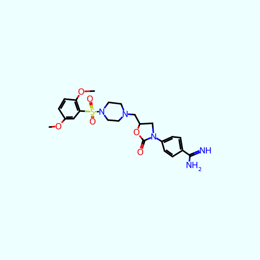 COc1ccc(OC)c(S(=O)(=O)N2CCN(CC3CN(c4ccc(C(=N)N)cc4)C(=O)O3)CC2)c1